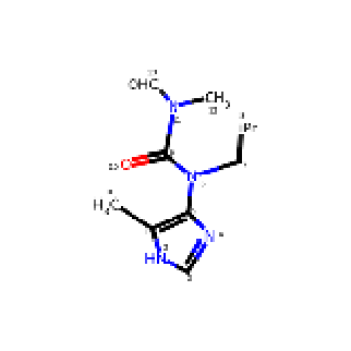 Cc1[nH]cnc1N(CC(C)C)C(=O)N(C)C=O